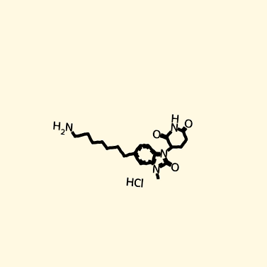 Cl.Cn1c(=O)n(C2CCC(=O)NC2=O)c2ccc(CCCCCCCN)cc21